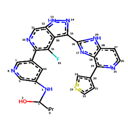 CC(C)C(O)Nc1cncc(-c2ncc3[nH]nc(-c4nc5c(-c6ccsc6)nccc5[nH]4)c3c2F)c1